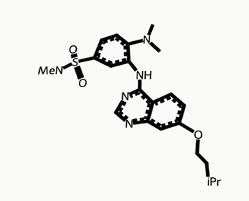 CNS(=O)(=O)c1ccc(N(C)C)c(Nc2ncnc3cc(OCCC(C)C)ccc23)c1